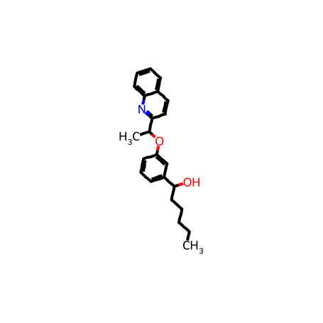 CCCCCC(O)c1cccc(OC(C)c2ccc3ccccc3n2)c1